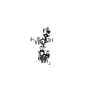 CC1CC(O)(C23CC(C(F)(F)F)(C2)C3)CC(COc2ccc(S(C)(=O)=O)c(C(F)(F)F)c2)N1